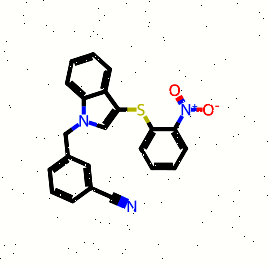 N#Cc1cccc(Cn2cc(Sc3ccccc3[N+](=O)[O-])c3ccccc32)c1